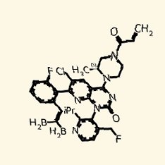 BC(B)=Cc1cccc(F)c1-c1nc2c(cc1Cl)c(N1CCN(C(=O)C=C)C[C@@H]1C)nc(=O)n2-c1c(CF)ccnc1C(C)C